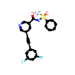 CS(=O)(=NC(=O)c1cncc(C#Cc2cc(F)cc(F)c2)c1)c1ccccc1